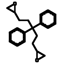 c1ccc(C(CCC2CO2)(CCC2CO2)c2ccccc2)cc1